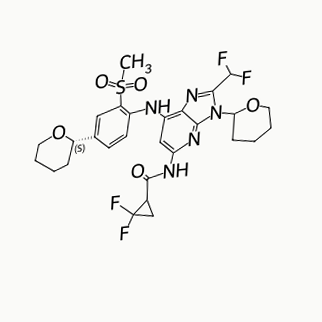 CS(=O)(=O)c1cc([C@@H]2CCCCO2)ccc1Nc1cc(NC(=O)C2CC2(F)F)nc2c1nc(C(F)F)n2C1CCCCO1